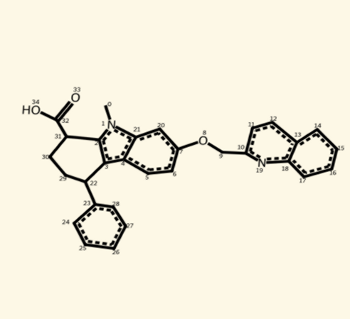 Cn1c2c(c3ccc(OCc4ccc5ccccc5n4)cc31)C(c1ccccc1)CCC2C(=O)O